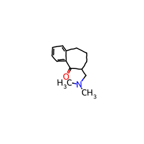 CN(C)CC1CCCc2ccccc2C1=O